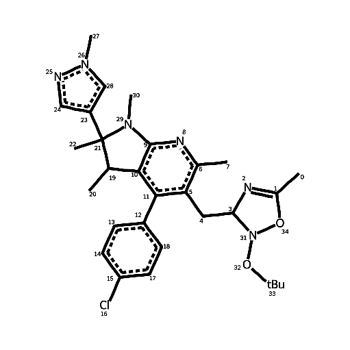 CC1=NC(Cc2c(C)nc3c(c2-c2ccc(Cl)cc2)C(C)C(C)(c2cnn(C)c2)N3C)N(OC(C)(C)C)O1